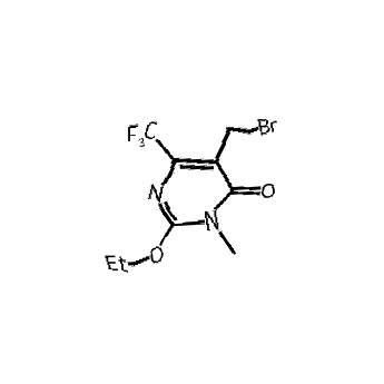 CCOc1nc(C(F)(F)F)c(CBr)c(=O)n1C